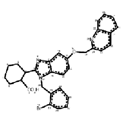 O=C(O)C1CCCCC1c1nc2cc(OCc3ccc4ccccc4n3)ccc2n1Cc1ccccc1Br